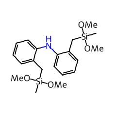 CO[Si](C)(Cc1ccccc1Nc1ccccc1C[Si](C)(OC)OC)OC